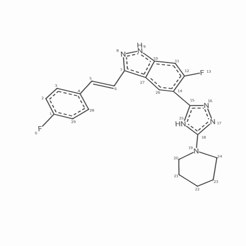 Fc1ccc(C=Cc2n[nH]c3cc(F)c(-c4nnc(N5CCCCC5)[nH]4)cc23)cc1